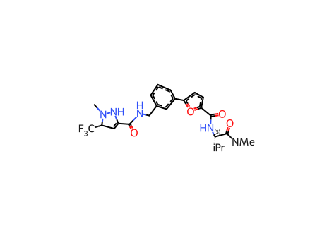 CNC(=O)[C@@H](NC(=O)c1ccc(-c2cccc(CNC(=O)C3=CC(C(F)(F)F)N(C)N3)c2)o1)C(C)C